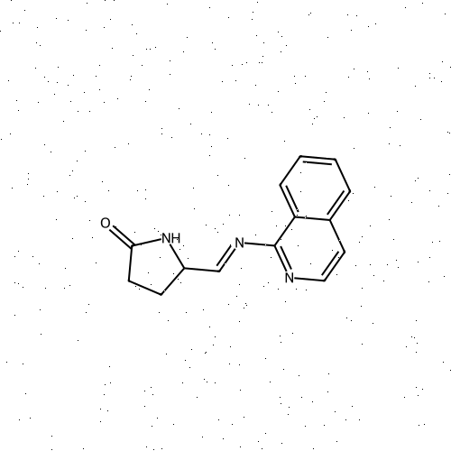 O=C1CCC(/C=N/c2nccc3ccccc23)N1